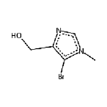 Cn1cnc(CO)c1Br